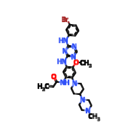 C=CC(=O)Nc1cc(Nc2ncnc(Nc3cccc(Br)c3)n2)c(OC)cc1N1CCC(N2CCN(C)CC2)CC1